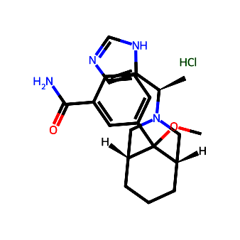 COC1(c2cccc(C(N)=O)c2)[C@@H]2CCC[C@H]1CN([C@H](C)c1cnc[nH]1)C2.Cl